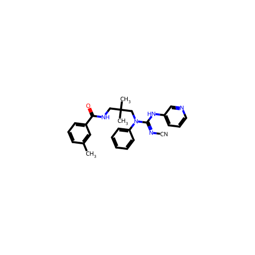 Cc1cccc(C(=O)NCC(C)(C)CN(C(=NC#N)Nc2cccnc2)c2ccccc2)c1